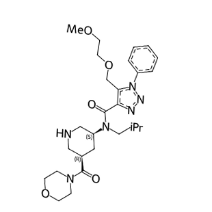 COCCOCc1c(C(=O)N(CC(C)C)[C@@H]2CNC[C@H](C(=O)N3CCOCC3)C2)nnn1-c1ccccc1